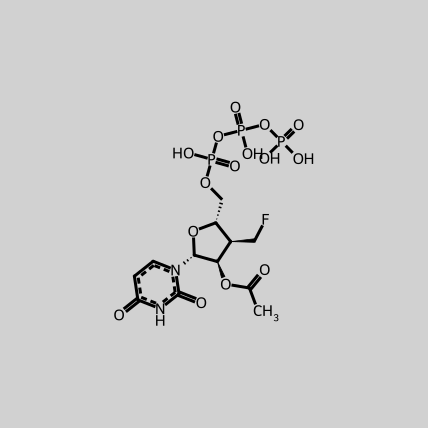 CC(=O)O[C@@H]1[C@H](CF)[C@@H](COP(=O)(O)OP(=O)(O)OP(=O)(O)O)O[C@H]1n1ccc(=O)[nH]c1=O